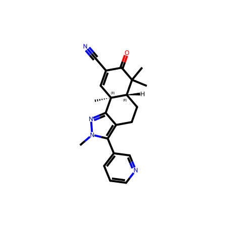 Cn1nc2c(c1-c1cccnc1)CC[C@H]1C(C)(C)C(=O)C(C#N)=C[C@]21C